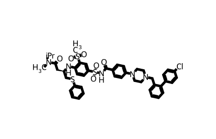 CC(C)N(C)C(=O)C[C@H](CSc1ccccc1)Nc1ccc(S(=O)(=O)NC(=O)c2ccc(N3CCN(Cc4ccccc4-c4ccc(Cl)cc4)CC3)cc2)cc1S(C)(=O)=O